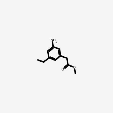 CCc1cc(N)cc(CC(=O)OC)c1